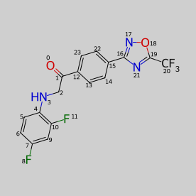 O=C(CNc1ccc(F)cc1F)c1ccc(-c2noc(C(F)(F)F)n2)cc1